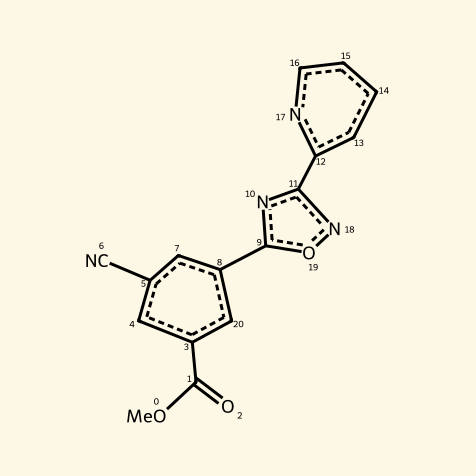 COC(=O)c1cc(C#N)cc(-c2nc(-c3ccccn3)no2)c1